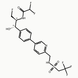 O=C(N[C@H](CF)[C@@H](O)c1ccc(-c2ccc(CNS(=O)(=O)CC(F)(F)F)nc2)cc1)C(F)F